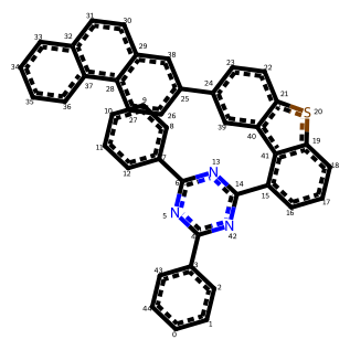 c1ccc(-c2nc(-c3ccccc3)nc(-c3cccc4sc5ccc(-c6ccc7c(ccc8ccccc87)c6)cc5c34)n2)cc1